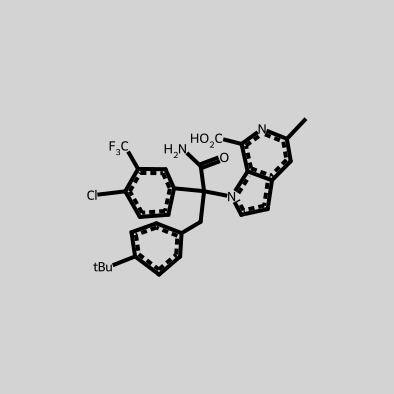 Cc1cc2ccn(C(Cc3ccc(C(C)(C)C)cc3)(C(N)=O)c3ccc(Cl)c(C(F)(F)F)c3)c2c(C(=O)O)n1